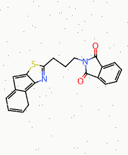 O=C1c2ccccc2C(=O)N1CCCc1nc2c(s1)=CC1=CC=CCC=21